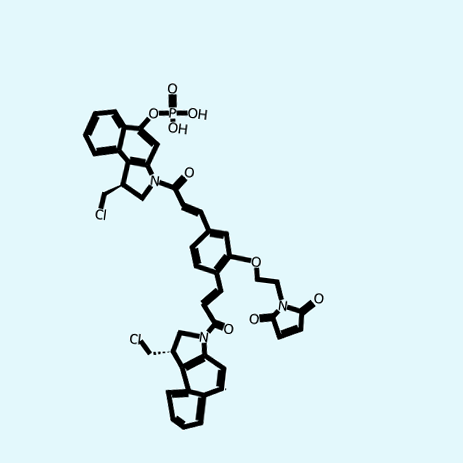 O=C1C=CC(=O)N1CCOc1cc(C=CC(=O)N2C[C@@H](CCl)c3c2cc(OP(=O)(O)O)c2ccccc32)ccc1C=CC(=O)N1C[C@@H](CCl)c2c1c[c]c1ccccc21